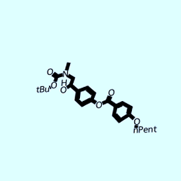 CCCCCOc1ccc(C(=O)Oc2ccc(C(O)CN(C)C(=O)OC(C)(C)C)cc2)cc1